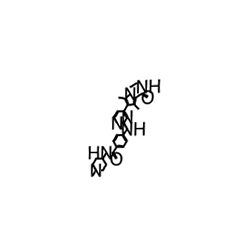 Cc1c(-c2ccnc(Nc3ccc(C(=O)NC4CCN(C)CC4)cc3)n2)c(C)n2c1C(=O)NCC2